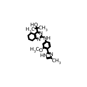 COc1cc(Nc2nc3c(c(C(C)(C)O)n2)CCCC3)ccc1-c1nc(C)c[nH]1